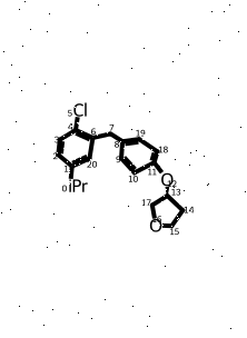 CC(C)c1ccc(Cl)c(Cc2ccc(O[C@H]3CCOC3)cc2)c1